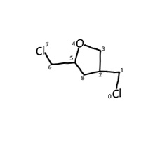 ClCC1COC(CCl)C1